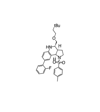 Cc1ccc(S(=O)(=O)N2CC[C@@H]3[C@H](COCCC(C)(C)C)Nc4ccc(-c5ccccc5F)cc4[C@@H]32)cc1